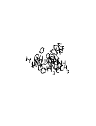 COc1ccc(OC(F)(F)F)cc1CC(=O)NC(C(=O)NC(Cc1ccccc1)C(O)CCC(=O)O)C(C)C.NC(=O)Cc1ccccc1